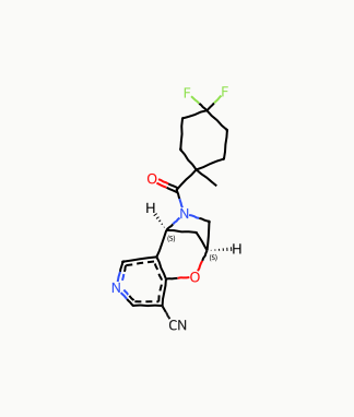 CC1(C(=O)N2C[C@@H]3C[C@H]2c2cncc(C#N)c2O3)CCC(F)(F)CC1